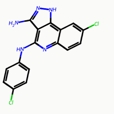 Nc1n[nH]c2c1c(Nc1ccc(Cl)cc1)nc1ccc(Cl)cc12